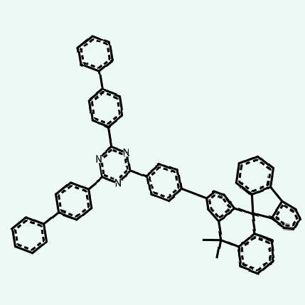 CC1(C)c2ccccc2C2(c3ccccc3-c3ccccc32)c2ccc(-c3ccc(-c4nc(-c5ccc(-c6ccccc6)cc5)nc(-c5ccc(-c6ccccc6)cc5)n4)cc3)cc21